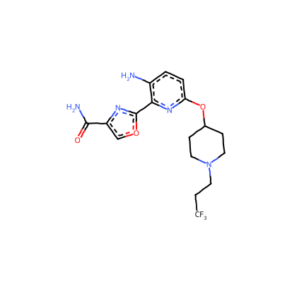 NC(=O)c1coc(-c2nc(OC3CCN(CCC(F)(F)F)CC3)ccc2N)n1